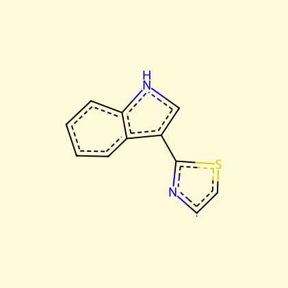 [c]1csc(-c2c[nH]c3ccccc23)n1